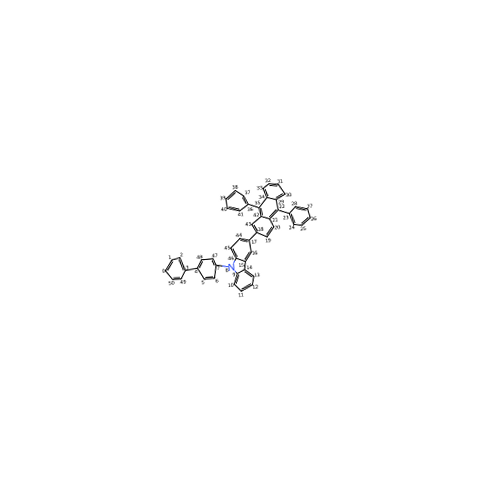 c1ccc(-c2ccc(-n3c4ccccc4c4cc(-c5ccc6c(-c7ccccc7)c7ccccc7c(-c7ccccc7)c6c5)ccc43)cc2)cc1